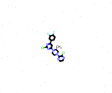 C[C@@H]1CN(c2nccnc2Cl)CCN1c1cc(-c2ccc(F)c(F)c2)nc(Cl)n1